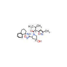 Cc1cc([C@@H](C(=O)N2C[C@H](O)CC2C2=NOC3(CCCc4ccccc43)N2)C(C)C)on1